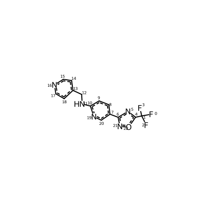 FC(F)(F)c1nc(-c2ccc(NCc3ccncc3)nc2)no1